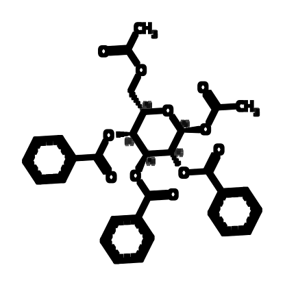 CC(=O)OC[C@@H]1O[C@@H](OC(C)=O)[C@H](OC(=O)c2ccccc2)[C@@H](OC(=O)c2ccccc2)[C@@H]1OC(=O)c1ccccc1